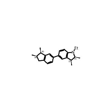 CCN1c2ccc(-c3ccc4c(c3)[C@H](C)[C@H](C)C4)cc2[C@H](C)[C@@H]1C